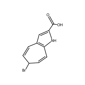 O=C(O)c1cc2c([nH]1)C=CC(Br)C=C2